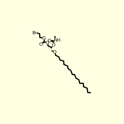 CCCCCCCCCCCCCCCCCCOC[C@H](COC(=O)OCCBr)OC(=O)NC